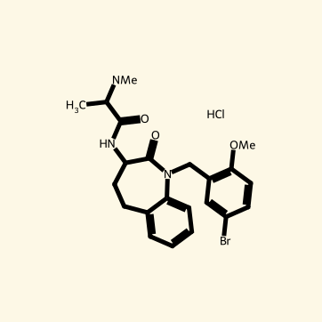 CNC(C)C(=O)NC1CCc2ccccc2N(Cc2cc(Br)ccc2OC)C1=O.Cl